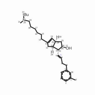 Cc1cccc(CC/C=C/[C@@H]2[C@H]3CC(CCCCCCN(C)C(C)(C)C)=C[C@H]3C[C@H]2O)c1